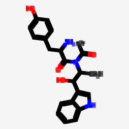 CCCC(=O)N(C(=O)C(N)Cc1ccc(O)cc1)C(C(=O)O)C(O)c1c[nH]c2ccccc12